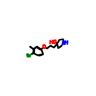 Cc1cc(OCCCC2(O)CCNCC2)ccc1Br